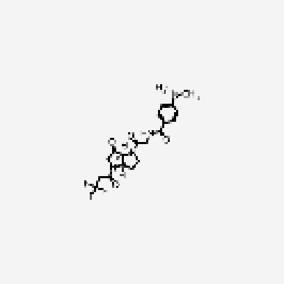 CN(C)c1ccc(C(=O)NCC(=O)N2CC[C@@H]3[C@H]2C(=O)CN3C(=O)CC(F)(F)F)cc1